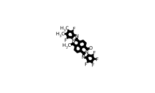 C=c1c2ccc3c4c(ccc(c24)c2nc4c(F)c(C)c(C)c(F)c4n12)c(=O)n1c3nc2c(F)c(F)c(F)c(F)c21